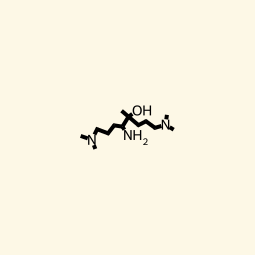 CN(C)CCCC(N)C(C)(O)CCCN(C)C